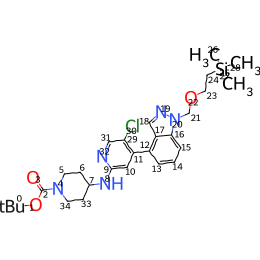 CC(C)(C)OC(=O)N1CCC(Nc2cc(-c3cccc4c3cnn4COCC[Si](C)(C)C)c(Cl)cn2)CC1